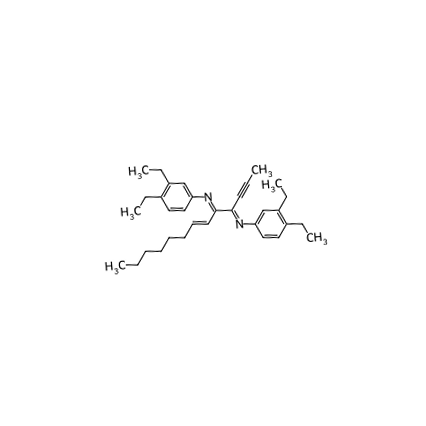 CC#CC(=Nc1ccc(CC)c(CC)c1)C(C=CCCCCCC)=Nc1ccc(CC)c(CC)c1